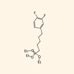 CCO[Si](CCCCCc1ccc(F)c(F)c1)(OCC)OCC